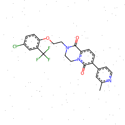 Cc1cc(-c2ccc3n(c2=O)CCN(CCOc2ccc(Cl)cc2C(F)(F)F)C3=O)ccn1